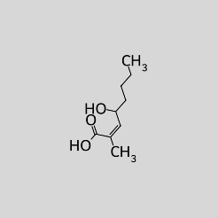 CCCCC(O)C=C(C)C(=O)O